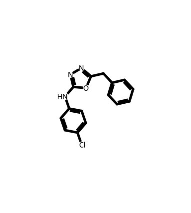 Clc1ccc(Nc2nnc(Cc3ccccc3)o2)cc1